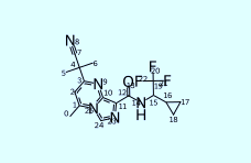 Cc1cc(C(C)(C)C#N)nc2c(C(=O)NC(C3CC3)C(F)(F)F)ncn12